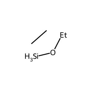 CC.CCO[SiH3]